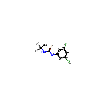 CCC(CC)(CC)NC(=S)Nc1cc(Cl)cc(Cl)c1